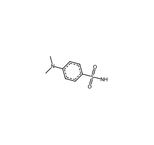 CN(C)c1ccc(S([NH])(=O)=O)cc1